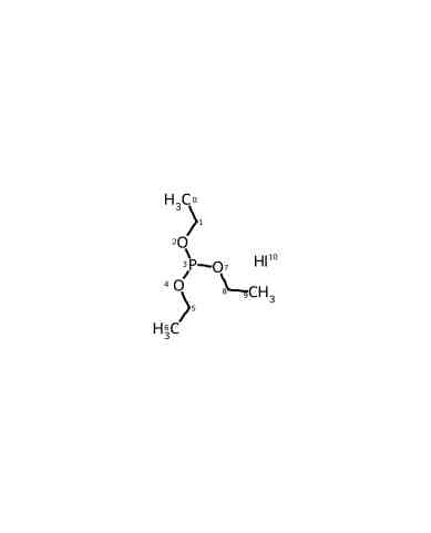 CCOP(OCC)OCC.I